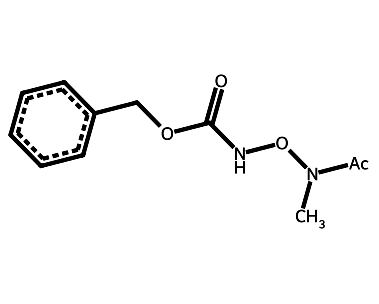 CC(=O)N(C)ONC(=O)OCc1ccccc1